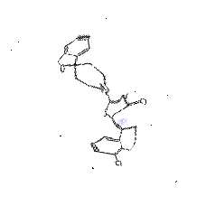 O=C1N=C(N2CCC3(CC2)OCc2ccccc23)S/C1=C1/CCCc2c(Cl)cccc21